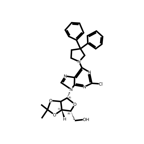 CC1(C)OC2[C@@H](O1)[C@@H](CO)O[C@H]2n1cnc2c(N3CCC(c4ccccc4)(c4ccccc4)C3)nc(Cl)nc21